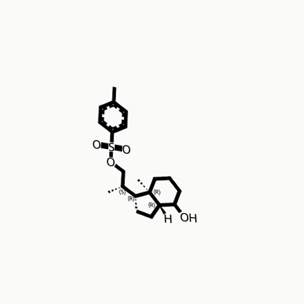 Cc1ccc(S(=O)(=O)OC[C@@H](C)[C@H]2CC[C@H]3C(O)CCC[C@]23C)cc1